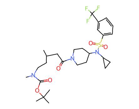 CC(CCN(C)C(=O)OC(C)(C)C)CC(=O)N1CCC(N(C2CC2)S(=O)(=O)c2cccc(C(F)(F)F)c2)CC1